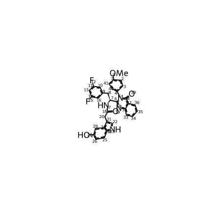 COc1ccc(-n2c([C@H](Cc3cc(F)cc(F)c3)NC(=O)Cc3c[nH]c4ccc(O)cc34)nc3ccccc3c2=O)cc1